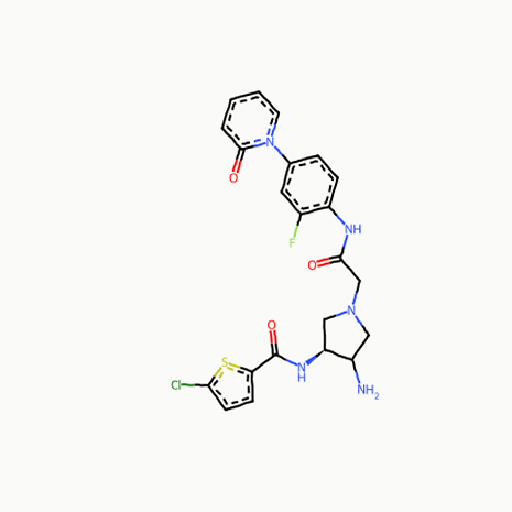 NC1CN(CC(=O)Nc2ccc(-n3ccccc3=O)cc2F)C[C@@H]1NC(=O)c1ccc(Cl)s1